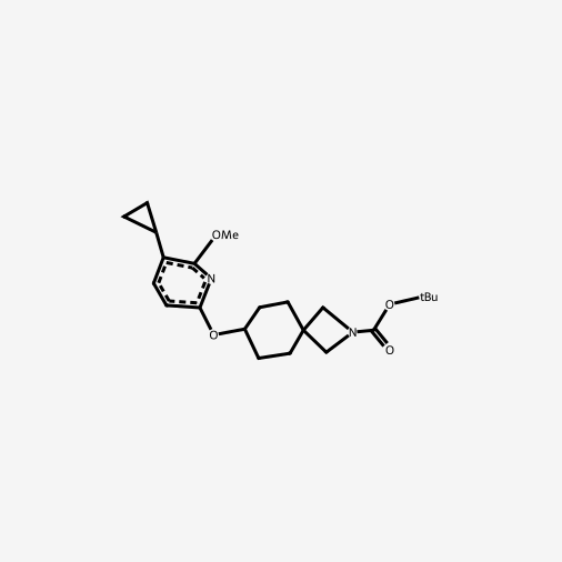 COc1nc(OC2CCC3(CC2)CN(C(=O)OC(C)(C)C)C3)ccc1C1CC1